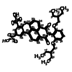 CCC(CC)COc1cccc(OCC(CC)CC)c1-n1c(=O)c2ccc3sc4c(S(=O)(=O)O)cc(S(=O)(=O)O)cc4c4ccc(c1=O)c2c34